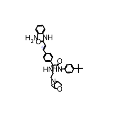 CC(C)(C)c1ccc(NC(=O)[C@@H](NCCN2CC3CC2CO3)c2ccc(/C=C/C(=O)Nc3ccccc3N)cc2)cc1